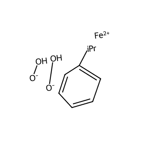 CC(C)c1ccccc1.[Fe+2].[O-]O.[O-]O